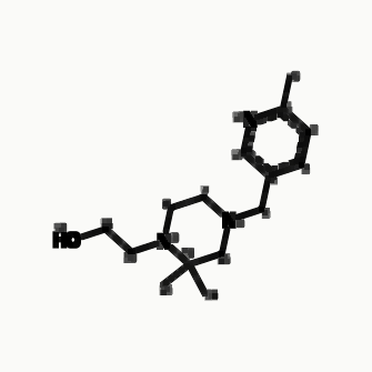 Cc1ccc(CN2CCN(CCO)C(C)(C)C2)cn1